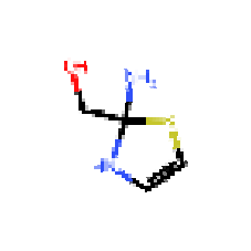 NC1(CO)NC=CS1